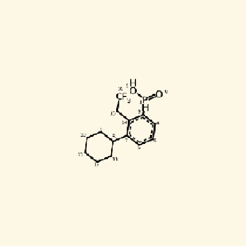 O=[PH](O)c1cccc(C2CCCCC2)c1CC(F)(F)F